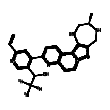 [2H]C([2H])([2H])C(O)c1cnc(C=C)cc1-c1ccc2c(ccc3sc4c(c32)NC[C@@H](C)NC4)n1